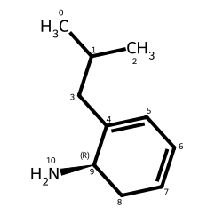 CC(C)CC1=CC=CC[C@H]1N